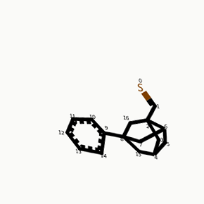 S=CC12CC3CC1CC(c1ccccc1)(C3)C2